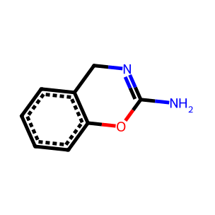 NC1=NCc2ccccc2O1